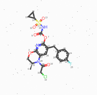 C[C@H]1COc2nc(OC(=O)NS(=O)(=O)C3CC3)c(Cc3ccc(F)cc3)cc2N1C(=O)CCl